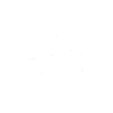 CN.NC(=S)Oc1ccccc1.NC(O)=S